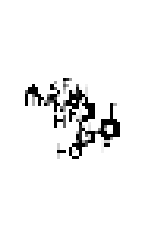 O[C@H]1C[C@H](c2cc(F)ccc2F)N(c2ccn3nc(F)c(NC(=S)NC4CC4)c3n2)C1